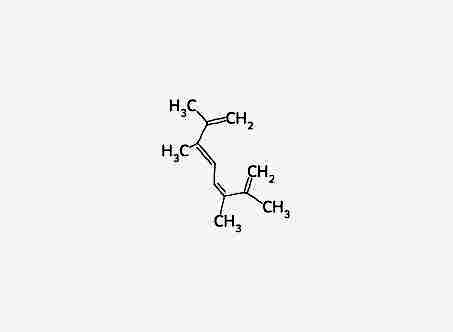 C=C(C)C(C)=CC=C(C)C(=C)C